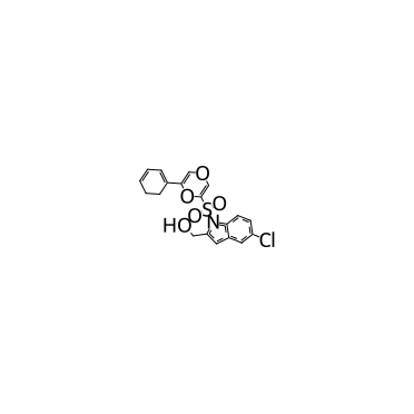 O=S(=O)(C1=COC=C(C2=CC=CCC2)O1)n1c(CO)cc2cc(Cl)ccc21